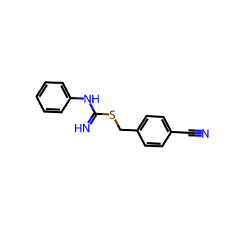 N#Cc1ccc(CSC(=N)Nc2ccccc2)cc1